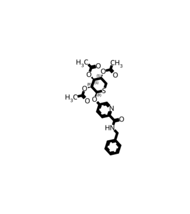 CC(=O)O[C@@H]1[C@@H](OC(C)=O)[C@H](OC(C)=O)CS[C@H]1Oc1ccc(C(=O)NCc2ccccc2)nc1